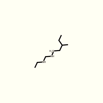 CCNCN[SiH2]CC(C)CC